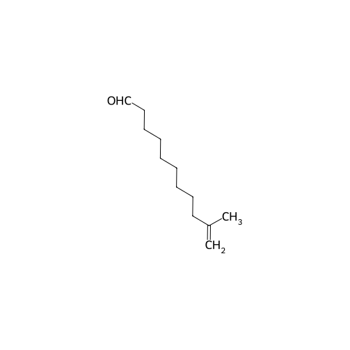 C=C(C)CCCCCCCCC=O